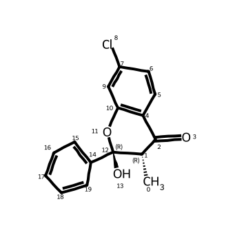 C[C@H]1C(=O)c2ccc(Cl)cc2O[C@@]1(O)c1ccccc1